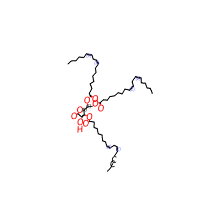 CCCCC/C=C\C/C=C\CCCCCCCC(=O)OC[C@H](OC(=O)CCCCCCC/C=C\C/C=C\CCCCC)[C@H]1OC(=O)C(O)=C1OC(=O)CCCCCCC/C=C\C/C=C\CCCCC